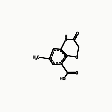 Cc1cc2c(c(C(=O)O)c1)OCC(=O)N2